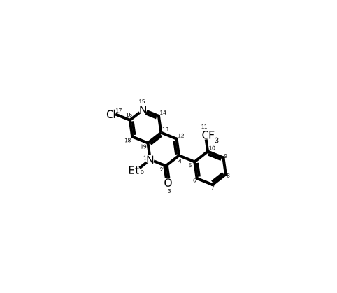 CCn1c(=O)c(-c2ccccc2C(F)(F)F)cc2cnc(Cl)cc21